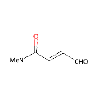 CNC(=O)C=CC=O